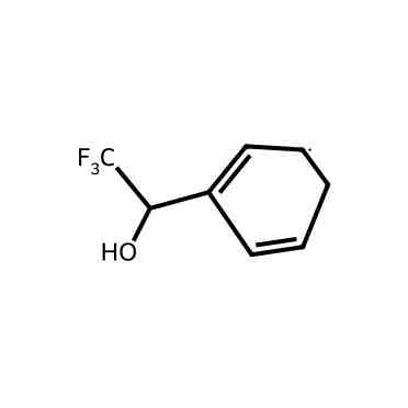 OC(C1=C[CH]CC=C1)C(F)(F)F